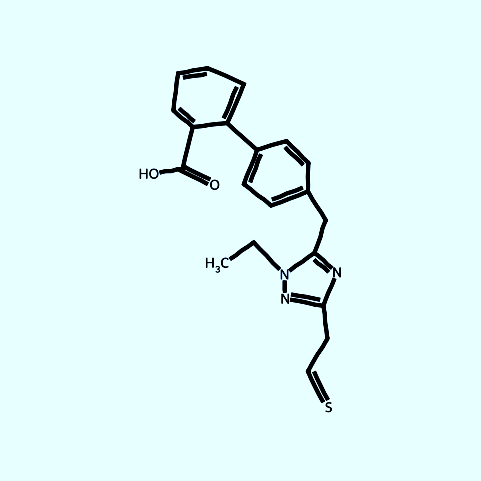 CCn1nc(CC=S)nc1Cc1ccc(-c2ccccc2C(=O)O)cc1